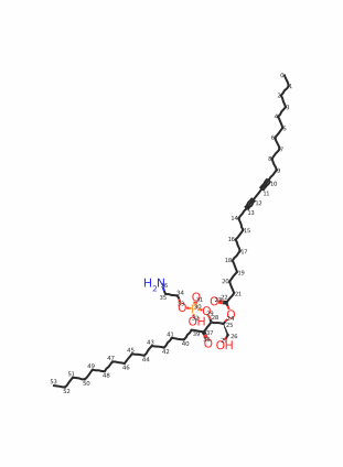 CCCCCCCCCCC#CC#CCCCCCCCCC(=O)O[C@@H](CO)C(OP(=O)(O)OCCN)C(=O)CCCCCCCCCCCCCCC